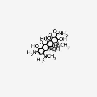 CN(C)c1cc(N)c(O)c2c1C[C@@H]1C(=C(O)[C@]3(O)C(=O)C(C(N)=O)=C(O)[C@@H](N(C)C)[C@@H]3[C@H]1O)C2=O